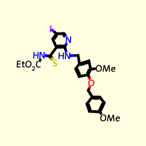 CCOC(=O)NC(=S)c1cc(I)cnc1NCc1ccc(OCc2ccc(OC)cc2)c(OC)c1